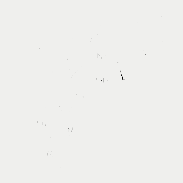 C[C@H](c1ccccc1)N1C(=O)c2ccccc2C1(O)c1ccc2[nH]c(N(C)C(=O)O)nc2c1